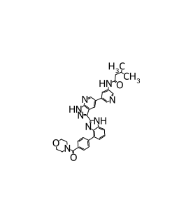 CC(C)CC(=O)Nc1cncc(-c2cnc3[nH]nc(-c4nc5c(-c6ccc(C(=O)N7CCOCC7)cc6)cccc5[nH]4)c3c2)c1